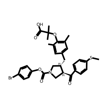 CSc1ccc(C(=O)[C@H]2CN(C(=O)Oc3ccc(Br)cc3)C[C@@H]2Cc2cc(C)c(OC(C)(C)C(=O)O)c(C)c2)cc1